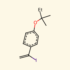 C=C(I)c1ccc(OC(C)(C)CC)cc1